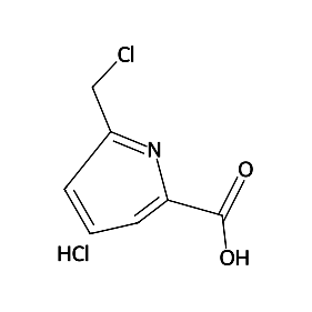 Cl.O=C(O)c1cccc(CCl)n1